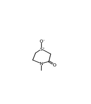 CN1CC[S+]([O-])CC1=O